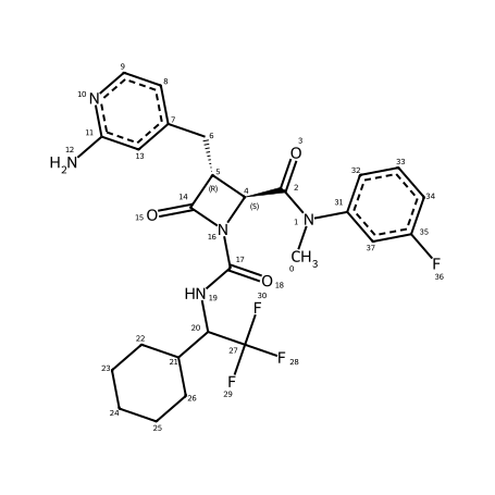 CN(C(=O)[C@@H]1[C@@H](Cc2ccnc(N)c2)C(=O)N1C(=O)NC(C1CCCCC1)C(F)(F)F)c1cccc(F)c1